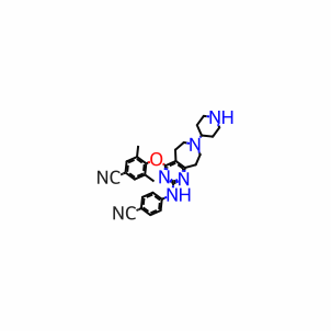 Cc1cc(C#N)cc(C)c1Oc1nc(Nc2ccc(C#N)cc2)nc2c1CCN(C1CCNCC1)CC2